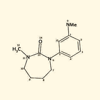 CNc1cccc(N2CCCCN(C)C2=O)c1